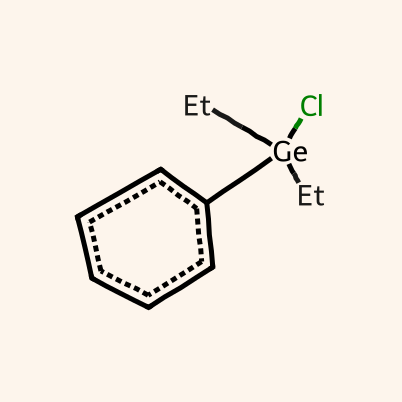 C[CH2][Ge]([Cl])([CH2]C)[c]1ccccc1